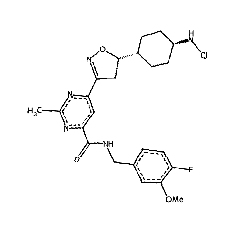 COc1cc(CNC(=O)c2cc(C3=NOC([C@H]4CC[C@H](NCl)CC4)C3)nc(C)n2)ccc1F